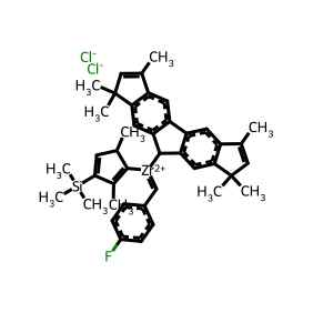 CC1=CC(C)(C)c2cc3c(cc21)-c1cc2c(cc1[CH]3/[Zr+2](=[CH]/c1ccc(F)cc1)[C]1=C(C)C([Si](C)(C)C)=CC1C)C(C)(C)C=C2C.[Cl-].[Cl-]